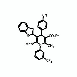 CCOC(=O)C1=C(C)N(c2cccc(C(F)(F)F)c2)C(NC)=C(c2nc3ccccc3s2)C1c1ccc(C#N)cc1